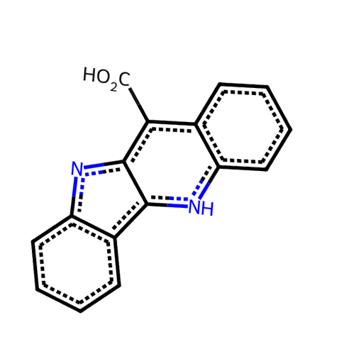 O=C(O)c1c2nc3ccccc3c-2[nH]c2ccccc12